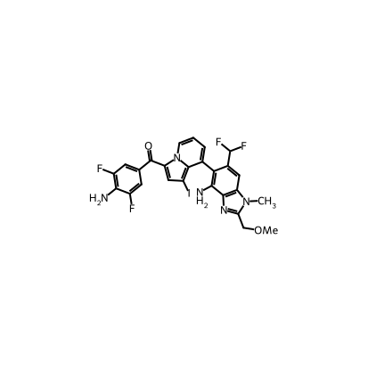 COCc1nc2c(N)c(-c3cccn4c(C(=O)c5cc(F)c(N)c(F)c5)cc(I)c34)c(C(F)F)cc2n1C